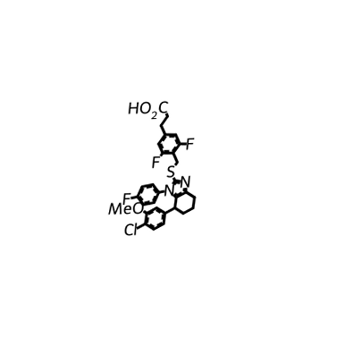 COc1cc(C2CCCc3nc(SCc4c(F)cc(CCC(=O)O)cc4F)n(-c4ccc(F)cc4)c32)ccc1Cl